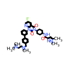 Cc1cc(C(=O)NC2CCC(n3c(=O)c4cc(F)cnc4n(-c4cccc(-c5ccc(CN(C)CCN(C)C)cc5)c4)c3=O)CC2)nn1C